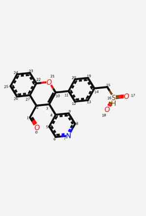 O=CC1C(c2ccncc2)=C(c2ccc(C[SH](=O)=O)cc2)Oc2ccccc21